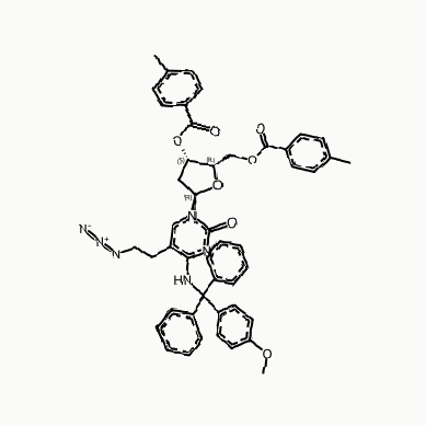 COc1ccc(C(Nc2nc(=O)n([C@H]3C[C@H](OC(=O)c4ccc(C)cc4)[C@@H](COC(=O)c4ccc(C)cc4)O3)cc2CCN=[N+]=[N-])(c2ccccc2)c2ccccc2)cc1